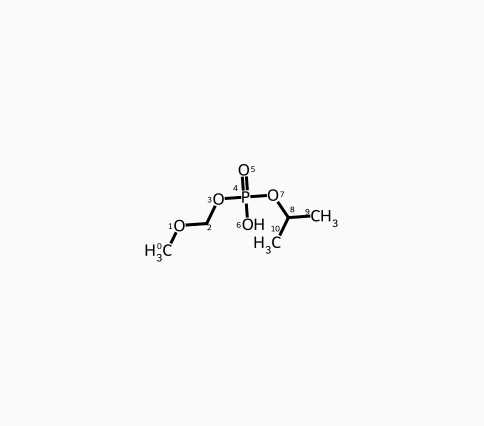 COCOP(=O)(O)OC(C)C